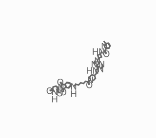 Cc1cccc(C(=O)NC2CC(n3cnc4c(NCC5CCN(C(=O)CCCCCNc6ccc7c(c6)C(=O)N([C@@H]6CCC(=O)NC6=O)C7=O)CC5)ncnc43)C2)n1